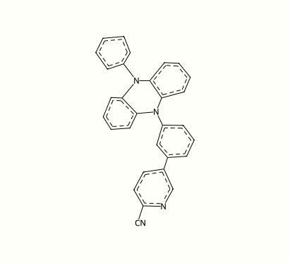 N#Cc1ccc(-c2cccc(N3c4ccccc4N(c4ccccc4)c4ccccc43)c2)cn1